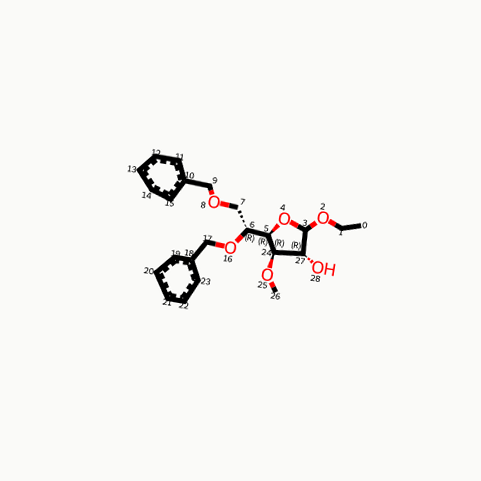 CCOC1O[C@H]([C@@H](COCc2ccccc2)OCc2ccccc2)[C@H](OC)[C@H]1O